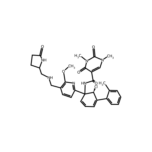 COc1nc(C2(NC(=O)c3cn(C)c(=O)n(C)c3=O)C=CC=C(c3ccccc3C)[C@@H]2Cl)ccc1CNCC1CCC(=O)N1